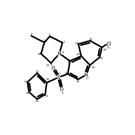 CC1CCN(c2c(S(=O)(=O)c3ccccc3)cnc3cc(Cl)ccc23)CC1